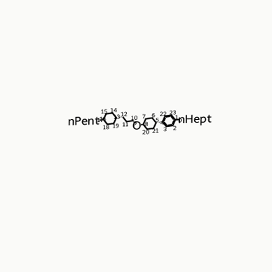 CCCCCCCc1ccc([C@H]2CC[C@H](OCCC[C@H]3CC[C@H](CCCCC)CC3)CC2)cc1